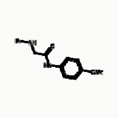 COc1ccc(NC(=O)CNC(C)C)cc1